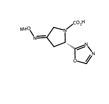 CON=C1C[C@@H](c2nnco2)N(C(=O)O)C1